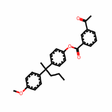 CCCC(C)(c1ccc(OC)cc1)c1ccc(OC(=O)c2cccc(C(C)=O)c2)cc1